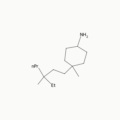 CCCC(C)(CC)CCC1(C)CCC(N)CC1